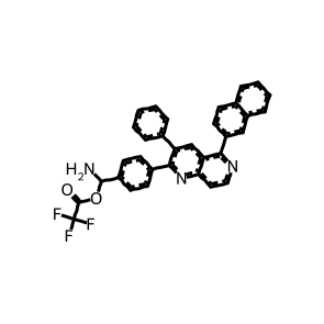 NC(OC(=O)C(F)(F)F)c1ccc(-c2nc3ccnc(-c4ccc5ccccc5c4)c3cc2-c2ccccc2)cc1